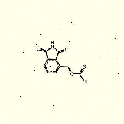 CCC(=O)OCc1cccc2c1C(=O)NC2=O